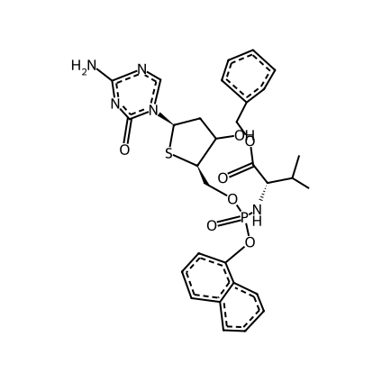 CC(C)[C@H](NP(=O)(OC[C@H]1S[C@@H](n2cnc(N)nc2=O)CC1O)Oc1cccc2ccccc12)C(=O)OCc1ccccc1